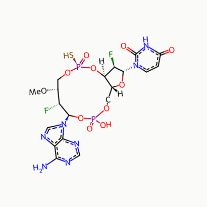 CO[C@@H]1CO[P@@](=O)(S)O[C@H]2[C@@H](F)[C@H](n3ccc(=O)[nH]c3=O)O[C@@H]2COP(=O)(O)O[C@@H](n2cnc3c(N)ncnc32)[C@@H]1F